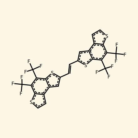 FC(F)(F)c1c(C(F)(F)F)c2sc(/C=C/c3cc4c(s3)c(C(F)(F)F)c(C(F)(F)F)c3sccc34)cc2c2ccsc12